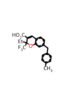 CCC1(C(F)(F)F)Oc2cc(Cc3ccc(C)cc3)ccc2C=C1C(=O)O